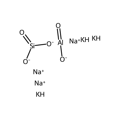 O=[Si]([O-])[O-].[KH].[KH].[KH].[Na+].[Na+].[Na+].[O]=[Al][O-]